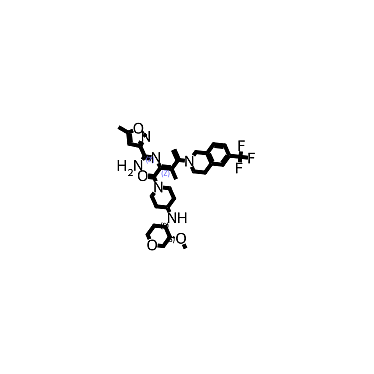 C=C(/C(C)=C(\N=C(/N)c1cc(C)on1)C(=O)N1CCC(N[C@H]2CCOC[C@H]2OC)CC1)N1CCc2cc(C(F)(F)F)ccc2C1